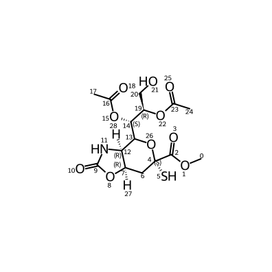 COC(=O)[C@@]1(S)C[C@H]2OC(=O)N[C@H]2C([C@H](OC(C)=O)[C@@H](CO)OC(C)=O)O1